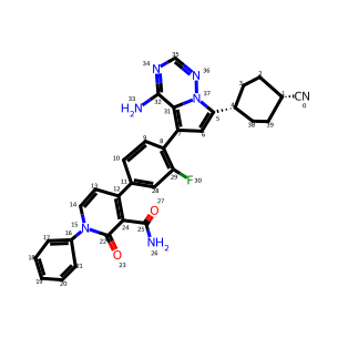 N#C[C@H]1CC[C@@H](c2cc(-c3ccc(-c4ccn(-c5ccccc5)c(=O)c4C(N)=O)cc3F)c3c(N)ncnn32)CC1